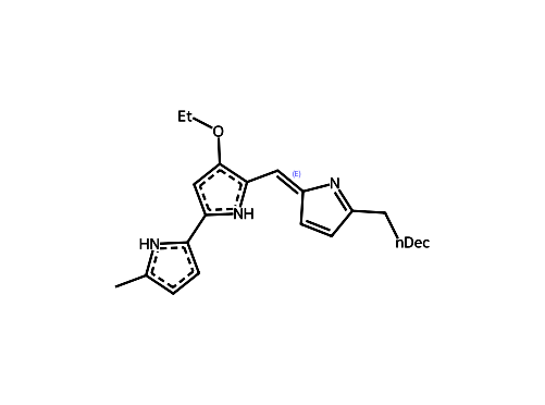 CCCCCCCCCCCC1=N/C(=C/c2[nH]c(-c3ccc(C)[nH]3)cc2OCC)C=C1